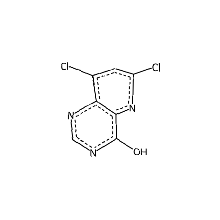 Oc1ncnc2c(Cl)cc(Cl)nc12